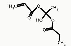 C=CC(=O)OC(C)(O)OC(=O)CC